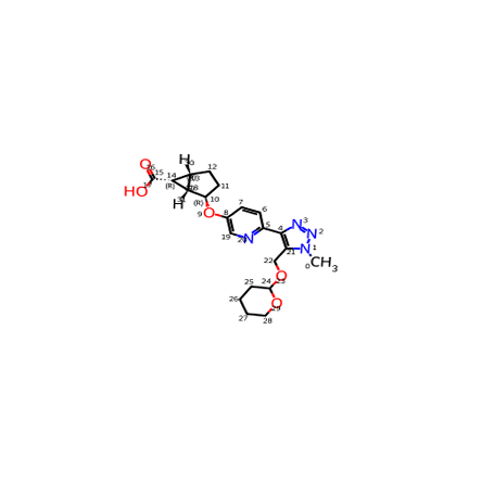 Cn1nnc(-c2ccc(O[C@@H]3CC[C@H]4[C@@H](C(=O)O)[C@H]43)cn2)c1COC1CCCCO1